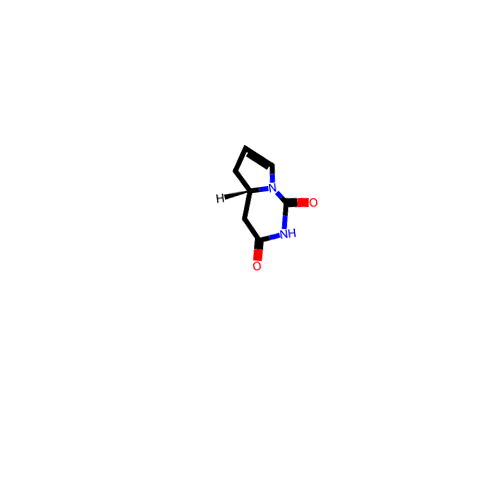 O=C1C[C@@H]2CC=CN2C(=O)N1